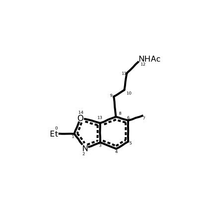 CCc1nc2ccc(C)c(CCCNC(C)=O)c2o1